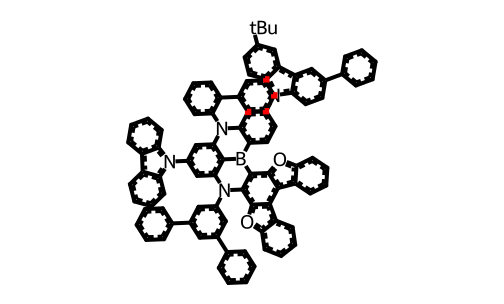 CC(C)(C)c1ccc2c(c1)c1cc(-c3ccccc3)ccc1n2-c1ccc2c(c1)N(c1ccccc1-c1ccccc1)c1cc(-n3c4ccccc4c4ccccc43)cc3c1B2c1c(c2oc4ccccc4c2c2c1oc1ccccc12)N3c1cc(-c2ccccc2)cc(-c2ccccc2)c1